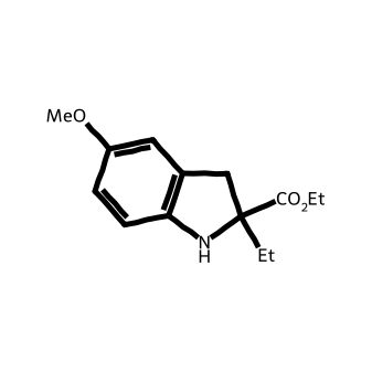 CCOC(=O)C1(CC)Cc2cc(OC)ccc2N1